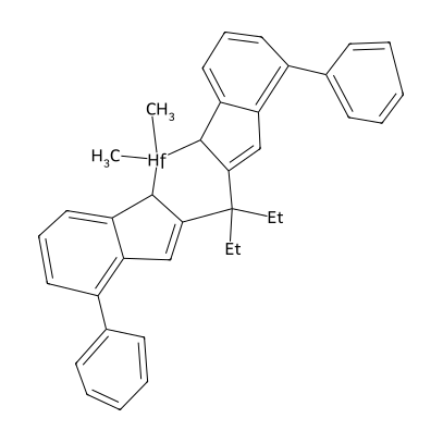 CCC1(CC)C2=Cc3c(-c4ccccc4)cccc3[CH]2[Hf]([CH3])([CH3])[CH]2C1=Cc1c(-c3ccccc3)cccc12